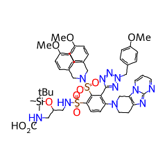 COc1ccc(CN(Cc2ccc(OC)cc2)S(=O)(=O)c2c(S(=O)(=O)NCC(CNC(=O)O)O[Si](C)(C)C(C)(C)C)ccc(N3CCc4nc5ncccn5c4C3)c2-c2nnn(Cc3ccc(OC)cc3)n2)cc1